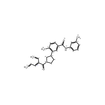 C=C/C=C(\C=C)C(=O)N1CCC(c2cc(C(=O)Nc3cccc(C)c3)ccc2C)C1